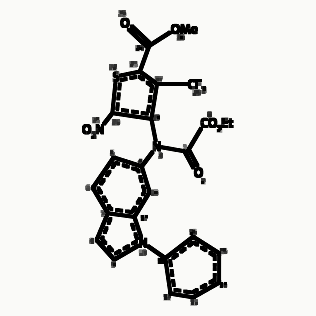 CCOC(=O)C(=O)N(c1ccc2ccn(-c3ccccc3)c2c1)c1c([N+](=O)[O-])sc(C(=O)OC)c1C(F)(F)F